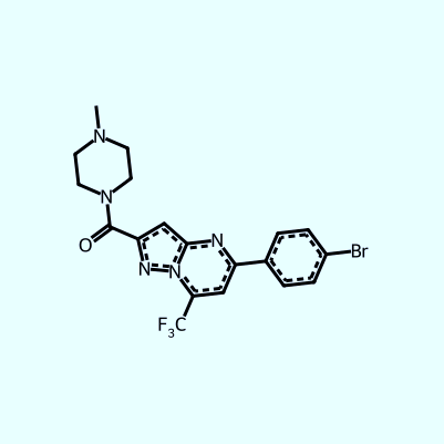 CN1CCN(C(=O)c2cc3nc(-c4ccc(Br)cc4)cc(C(F)(F)F)n3n2)CC1